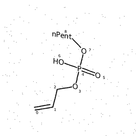 C=CCOP(=O)(O)OCCCCC